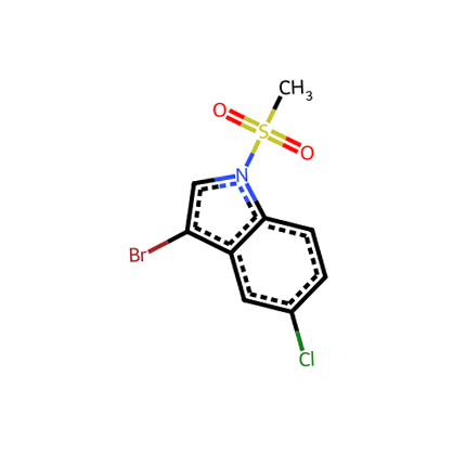 CS(=O)(=O)n1cc(Br)c2cc(Cl)ccc21